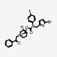 O=C(C[N+]12CCC(CC1)[C@@H](OC(=O)N(Cc1ccc(Br)s1)c1ccc(F)cc1)C2)c1ccccc1